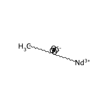 CCCCCCCCCCCCCCCCCCCCCCCCCCC[CH2][Nd+3].O=P([O-])([O-])[O-]